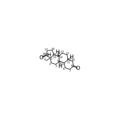 CC12CC[C@@H]3C4CCC(=O)C[C@@H]4CC[C@H]3[C@@H]1CCC2=O